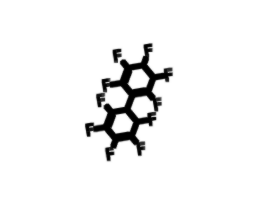 FC1=C(F)C(F)C(F)C(F)=C1C1C(F)=C(F)C(F)=C(F)C1F